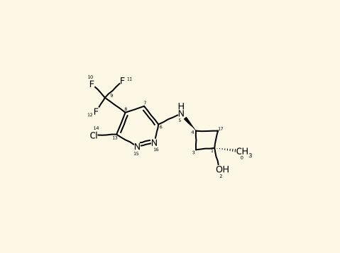 C[C@]1(O)C[C@@H](Nc2cc(C(F)(F)F)c(Cl)nn2)C1